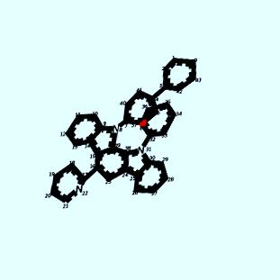 c1ccc(-c2ccc(-n3c4ccccc4c4c(-c5ccccn5)cc5c6ccccc6n(-c6ccccc6)c5c43)cc2)cc1